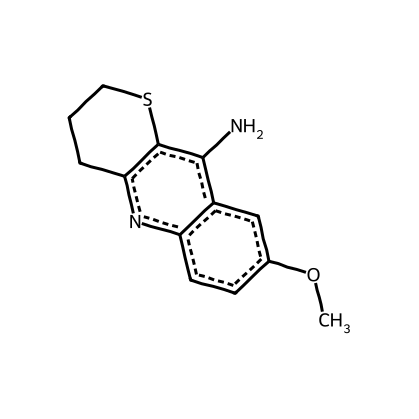 COc1ccc2nc3c(c(N)c2c1)SCCC3